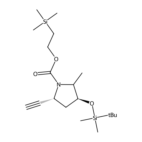 C#C[C@H]1C[C@H](O[Si](C)(C)C(C)(C)C)C(C)N1C(=O)OCC[Si](C)(C)C